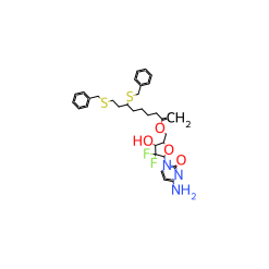 C=C(CCCCC(CCSCc1ccccc1)SCc1ccccc1)OCC1OC(n2ccc(N)nc2=O)C(F)(F)C1O